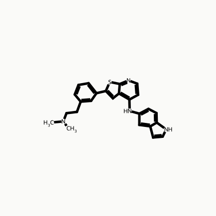 CN(C)CCc1cccc(-c2cc3c(Nc4ccc5[nH]ccc5c4)ccnc3s2)c1